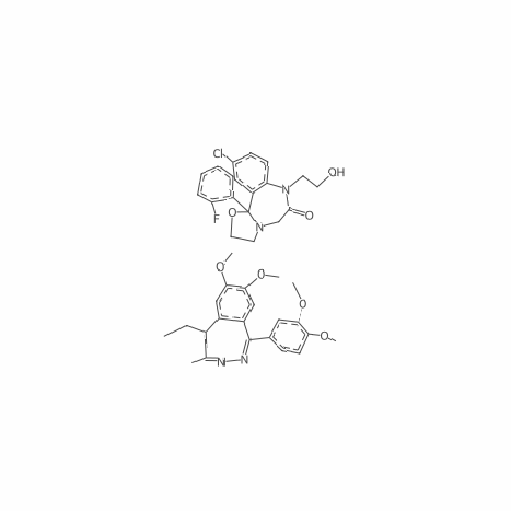 CCC1C(C)=NN=C(c2ccc(OC)c(OC)c2)c2cc(OC)c(OC)cc21.O=C1CN2CCOC2(c2ccccc2F)c2cc(Cl)ccc2N1CCO